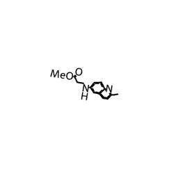 COC(=O)CCNc1ccc2nc(C)ccc2c1